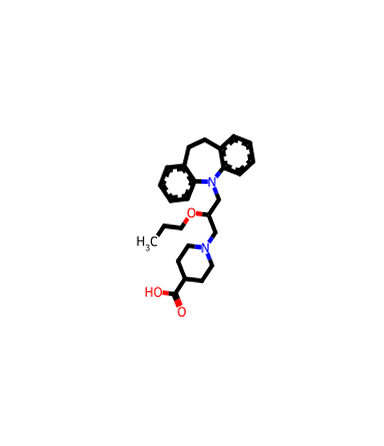 CCCOC(CN1CCC(C(=O)O)CC1)CN1c2ccccc2CCc2ccccc21